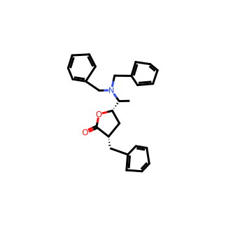 CC([C@@H]1C[C@H](Cc2ccccc2)C(=O)O1)N(Cc1ccccc1)Cc1ccccc1